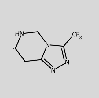 FC(F)(F)c1nnc2n1CN[CH]C2